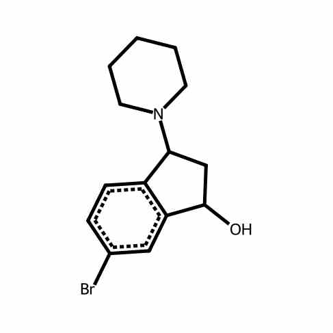 OC1CC(N2CCCCC2)c2ccc(Br)cc21